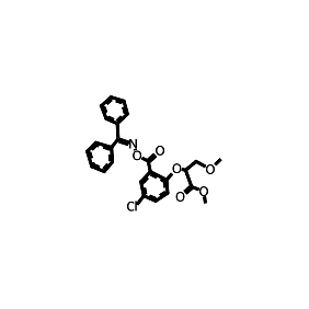 COCC(Oc1ccc(Cl)cc1C(=O)ON=C(c1ccccc1)c1ccccc1)C(=O)OC